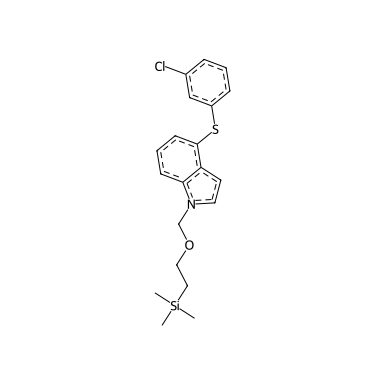 C[Si](C)(C)CCOCn1ccc2c(Sc3cccc(Cl)c3)cccc21